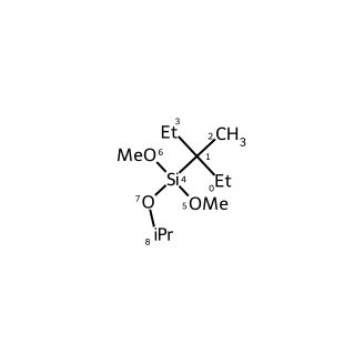 CCC(C)(CC)[Si](OC)(OC)OC(C)C